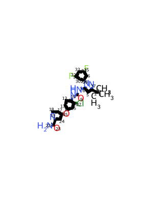 CC(C)(C)c1cc(NC(=O)Nc2ccc(Oc3ccnc(C(N)=O)c3)cc2Cl)n(-c2cc(F)cc(F)c2)n1